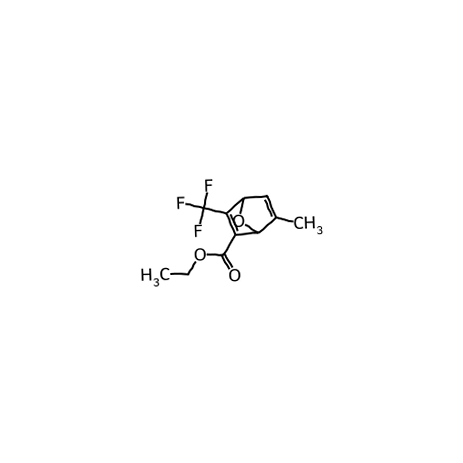 CCOC(=O)C1=C(C(F)(F)F)C2C=C(C)C1O2